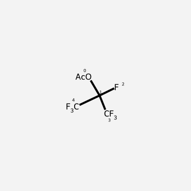 CC(=O)OC(F)(C(F)(F)F)C(F)(F)F